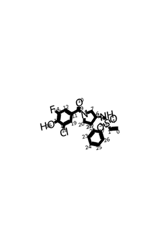 C=CS(=O)(=O)N[C@@H]1CN(C(=O)c2cc(F)c(O)c(Cl)c2)C[C@H]1c1ccccc1